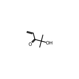 C=CC(=O)C(C)(C)O